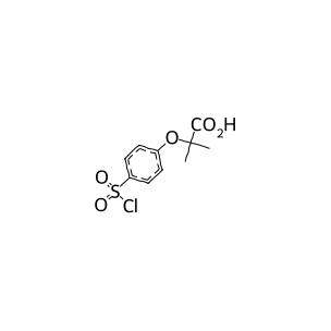 CC(C)(Oc1ccc(S(=O)(=O)Cl)cc1)C(=O)O